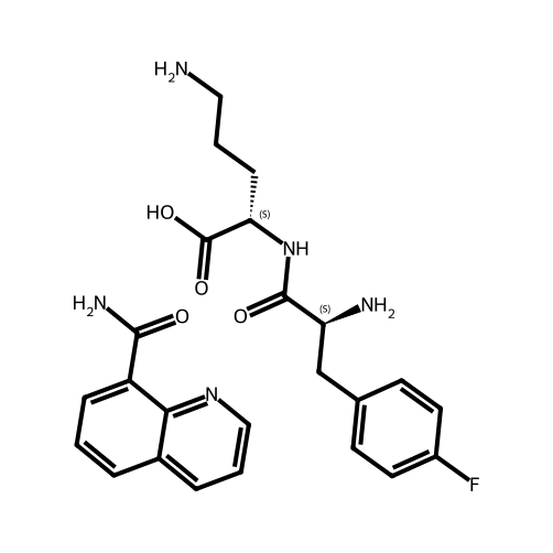 NC(=O)c1cccc2cccnc12.NCCC[C@H](NC(=O)[C@@H](N)Cc1ccc(F)cc1)C(=O)O